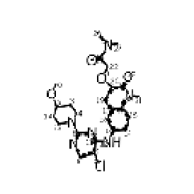 COC1CCN(c2ncc(Cl)c(Nc3ccc4c(c3)cc(OCC(=O)N(C)C)c(=O)n4C)n2)CC1